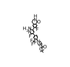 CC(C)(C)OC(=O)N1CCN(c2ccc(-c3cc(-c4cc5c(cc4F)C(=O)NCC5)c(N)nc3F)cc2C(F)(F)F)CC1